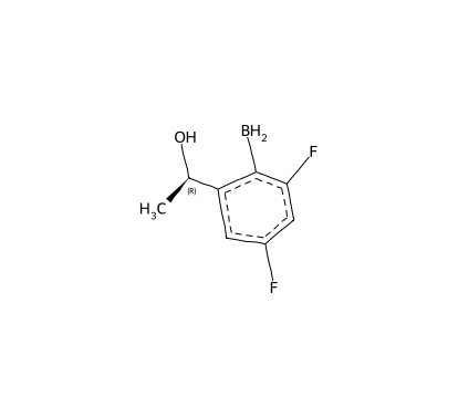 Bc1c(F)cc(F)cc1[C@@H](C)O